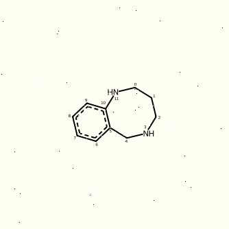 [CH]1CCNCc2ccccc2N1